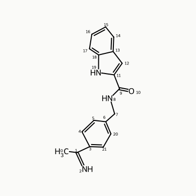 CC(=N)c1ccc(CNC(=O)c2cc3ccccc3[nH]2)cc1